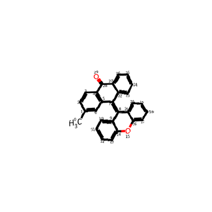 Cc1ccc2c(c1)C(=C1c3ccccc3Oc3ccccc31)c1ccccc1C2=O